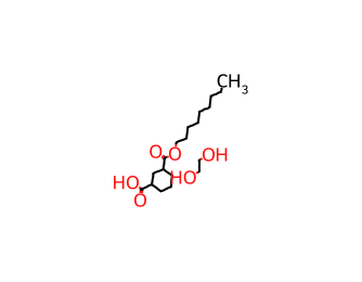 CCCCCCCCCOC(=O)C1CCCC(C(=O)O)C1.OCCO